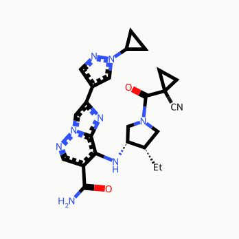 CC[C@H]1CN(C(=O)C2(C#N)CC2)C[C@H]1Nc1c(C(N)=O)cnn2cc(-c3cnn(C4CC4)c3)nc12